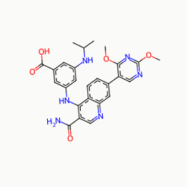 COc1ncc(-c2ccc3c(Nc4cc(NC(C)C)cc(C(=O)O)c4)c(C(N)=O)cnc3c2)c(OC)n1